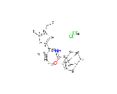 CCC1=C(C)C[C]([Ti+2]([NH]C(=O)C23CC4CC(CC(C4)C2)C3)[SiH](C)C)=C1.[Cl-].[Cl-]